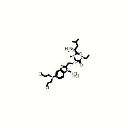 CCOC(=O)[C@H](CCc1nc2cc(N(CCCl)CCCl)ccc2n1C)NC(=O)[C@@H](N)CC(C)C.Cl.Cl